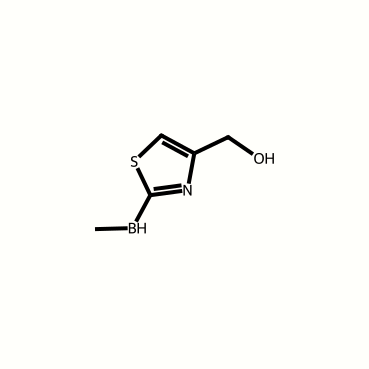 CBc1nc(CO)cs1